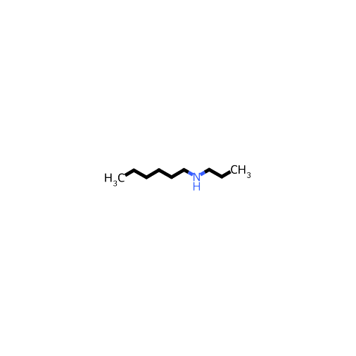 CCCCCCNCCC